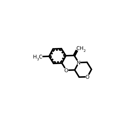 C=C1c2ccc(C)cc2OC2COCCN12